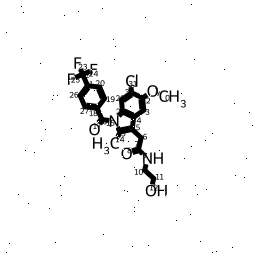 COc1cc2c(CC(=O)NCCO)c(C)n(C(=O)c3ccc(C(F)(F)F)cc3)c2cc1Cl